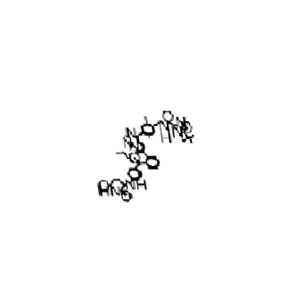 CCCOC(c1ccc(NC2CCC(=O)NC2=O)cc1)c1ccccc1-c1cc2c(-c3ccc(CNC(=O)c4noc(C(C)(C)C)n4)c(C)c3)ncnn2c1